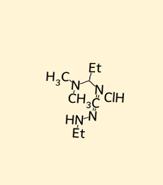 CCNN=C=NC(CC)N(C)C.Cl